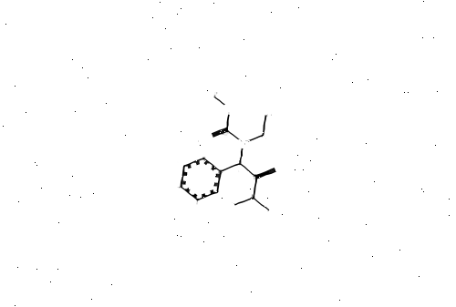 C=C(C(C)C)C(c1ccccc1)N(CC)C(=O)OC